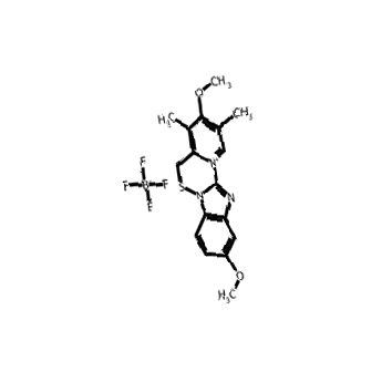 COc1ccc2c(c1)nc1n2SCc2c(C)c(OC)c(C)c[n+]2-1.F[B-](F)(F)F